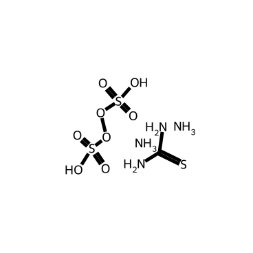 N.N.NC(N)=S.O=S(=O)(O)OOS(=O)(=O)O